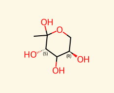 CC1(O)OC[C@@H](O)C(O)[C@@H]1O